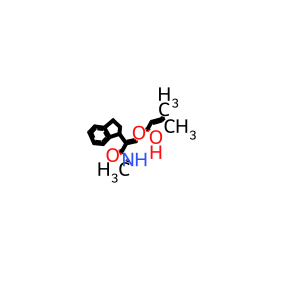 CNC(=O)/C(=C/OC(O)C=C(C)C)C1CCc2ccccc21